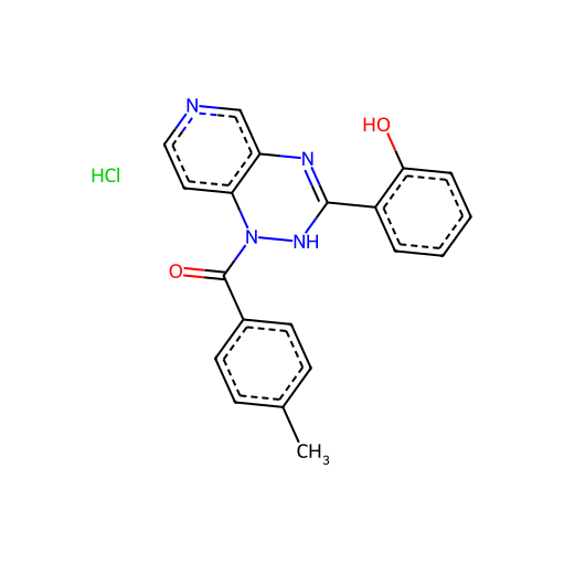 Cc1ccc(C(=O)N2NC(c3ccccc3O)=Nc3cnccc32)cc1.Cl